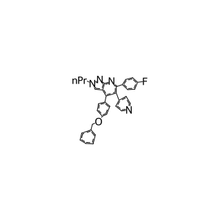 CCCn1cc2c(-c3ccc(OCc4ccccc4)cc3)c(-c3ccncc3)c(-c3ccc(F)cc3)nc2n1